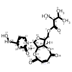 CC(C)[C@H](N)C(=O)OCC1O[C@@H](n2ccc(NO)nc2=O)[C@@H]2OC(=O)/C=C\C(=O)O[C@H]12